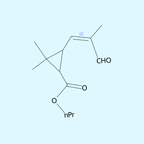 CCCOC(=O)C1C(/C=C(/C)C=O)C1(C)C